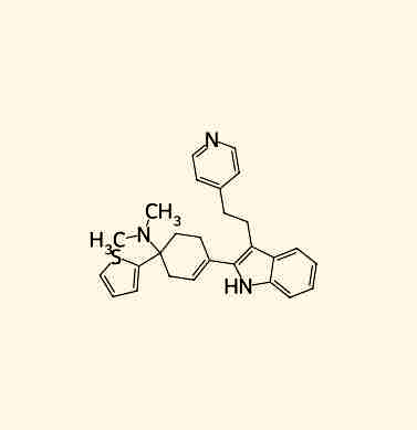 CN(C)C1(c2cccs2)CC=C(c2[nH]c3ccccc3c2CCc2ccncc2)CC1